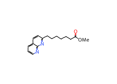 COC(=O)CCCCCCc1ccc2cccnc2n1